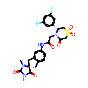 CN1C(=O)NC(=O)[C@@]12Cc1ccc(NC(=O)CN3C(=O)CS(=O)(=O)C[C@H]3c3cc(F)cc(F)c3)cc1C2